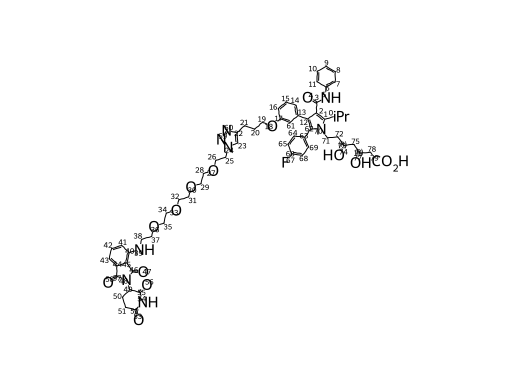 CC(C)c1c(C(=O)Nc2ccccc2)c(-c2cccc(OCCCc3cn(CCOCCOCCOCCOCCNc4cccc5c4C(=O)N(C4CCC(=O)NC4=O)C5=O)nn3)c2)c(-c2ccc(F)cc2)n1CC[C@@H](O)C[C@@H](O)CC(=O)O